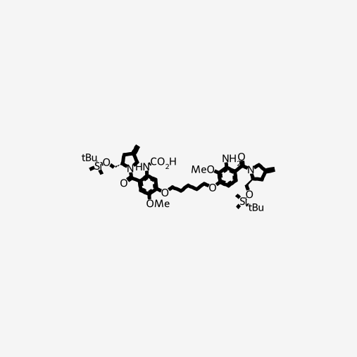 C=C1C[C@@H](CO[Si](C)(C)C(C)(C)C)N(C(=O)c2cc(OC)c(OCCCCCOc3ccc(C(=O)N4CC(=C)C[C@H]4CO[Si](C)(C)C(C)(C)C)c(N)c3OC)cc2NC(=O)O)C1